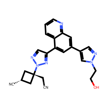 N#CC[C@]1(n2ncc(-c3cc(-c4cnn(CCO)c4)cc4ncccc34)n2)C[C@@H](C#N)C1